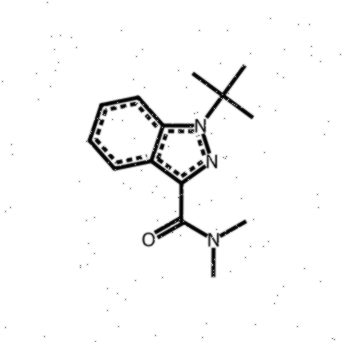 CN(C)C(=O)c1nn(C(C)(C)C)c2ccccc12